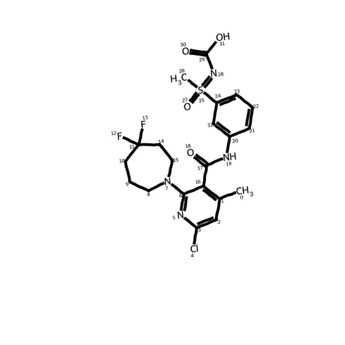 Cc1cc(Cl)nc(N2CCCC(F)(F)CC2)c1C(=O)Nc1cccc(S(C)(=O)=NC(=O)O)c1